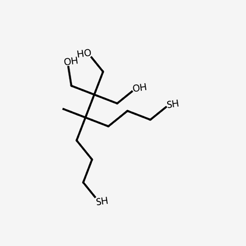 CC(CCCS)(CCCS)C(CO)(CO)CO